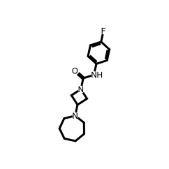 O=C(Nc1ccc(F)cc1)N1CC(N2CCCCCC2)C1